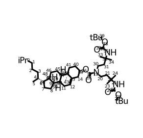 CC(C)CCCC(C)[C@H]1CC[C@H]2[C@@H]3CC=C4C[C@@H](OC(=O)N(CCC(C)(C)NC(=O)OC(C)(C)C)CCC(C)(C)NC(=O)OC(C)(C)C)CC[C@]4(C)[C@H]3CC[C@]12C